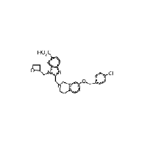 O=C(O)c1ccc2nc(CN3CCc4ccc(OCc5ccc(Cl)cc5)cc4C3)n(C[C@@H]3CCO3)c2c1